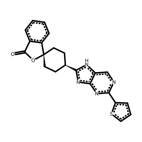 O=C1O[C@]2(CC[C@H](c3nc4nc(-c5cccs5)ncc4[nH]3)CC2)c2ccccc21